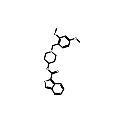 COc1ccc(CN2CCC(NC(=O)c3occ4ccccc34)CC2)c(OC)c1